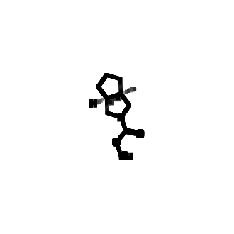 CC(C)(C)OC(=O)N1C[C@H]2CCC[C@@]2(C)C1